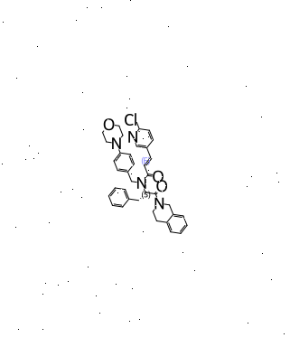 O=C([C@H](Cc1ccccc1)N(Cc1ccc(N2CCOCC2)cc1)C(=O)/C=C/c1ccc(Cl)nc1)N1CCc2ccccc2C1